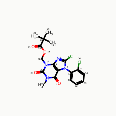 Cn1c(=O)c2c(nc(Cl)n2-c2ccccc2Cl)n(COC(=O)C(C)(C)C)c1=O